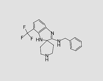 FC(F)(F)c1cccc2c1NC1(CCNCC1)C(NCc1ccccc1)=N2